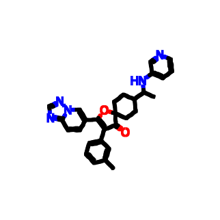 Cc1cccc(C2=C(c3ccc4ncnn4c3)OC3(CCC(C(C)Nc4cccnc4)CC3)C2=O)c1